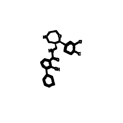 O=C(NC[C@@H]1CNCCO[C@H]1c1ccc(Cl)c(Cl)c1)c1cccc(-c2ccccc2)c1O